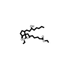 CCCCCC(O)CCC1CCC(=O)C1(CC(C)CCCCC(=O)OCC)C(=O)OCC